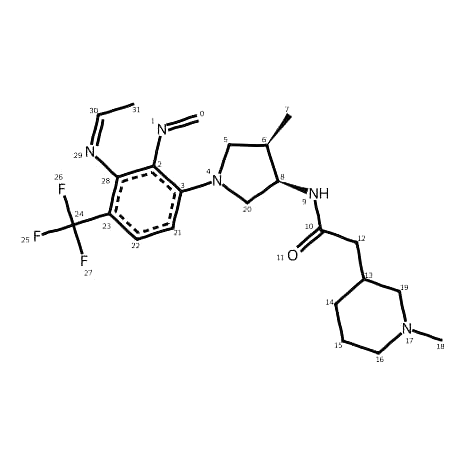 C=Nc1c(N2C[C@@H](C)[C@@H](NC(=O)CC3CCCN(C)C3)C2)ccc(C(F)(F)F)c1/N=C\C